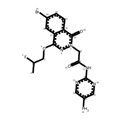 CC(F)COc1nn(CC(=O)Nc2ncc(P)cn2)c(=O)c2ccc(Br)cc12